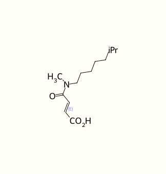 CC(C)CCCCCN(C)C(=O)/C=C/C(=O)O